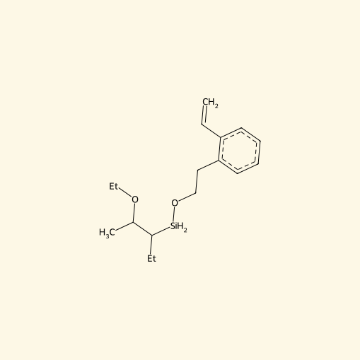 C=Cc1ccccc1CCO[SiH2]C(CC)C(C)OCC